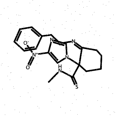 CNC(=S)C1(n2cnc([N+](=O)[O-])c2)CCCC/C1=N/OCc1ccccc1